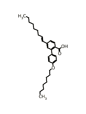 CCCCCCCC=Cc1ccc(C(=O)O)c(-c2ccc(OCCCCCCCC)cc2)c1